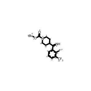 CC(C)(C)OC(=O)N1CCC(C(=N)c2cccc(C(F)(F)F)c2F)CC1